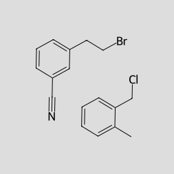 Cc1ccccc1CCl.N#Cc1cccc(CCBr)c1